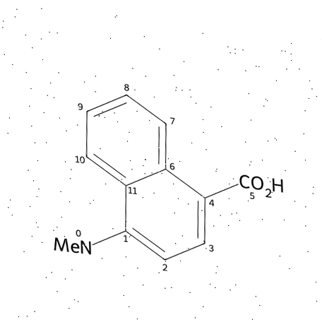 CNc1ccc(C(=O)O)c2ccccc12